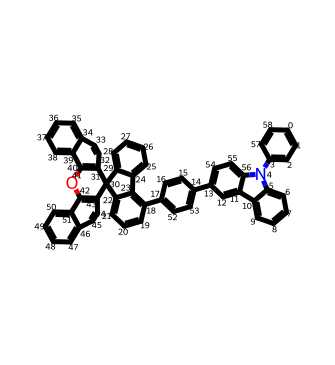 c1ccc(-n2c3ccccc3c3cc(-c4ccc(-c5cccc6c5-c5ccccc5C65c6ccc7ccccc7c6Oc6c5ccc5ccccc65)cc4)ccc32)cc1